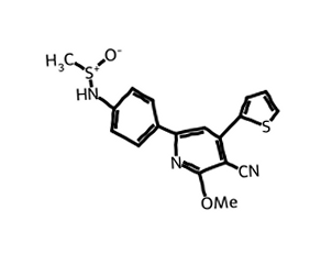 COc1nc(-c2ccc(N[S+](C)[O-])cc2)cc(-c2cccs2)c1C#N